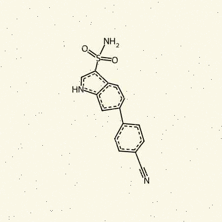 N#Cc1ccc(-c2ccc3c(S(N)(=O)=O)c[nH]c3c2)cc1